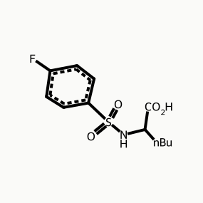 CCCCC(NS(=O)(=O)c1ccc(F)cc1)C(=O)O